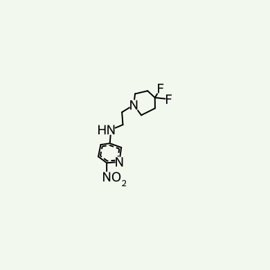 O=[N+]([O-])c1ccc(NCCN2CCC(F)(F)CC2)cn1